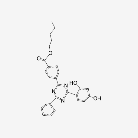 CCCCCOC(=O)c1ccc(-c2nc(-c3ccccc3)nc(-c3ccc(O)cc3O)n2)cc1